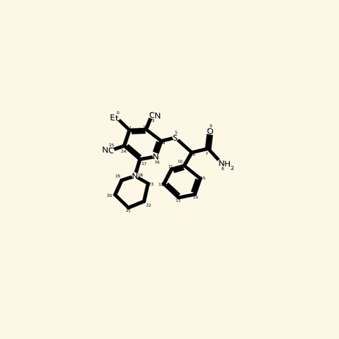 CCc1c(C#N)c(SC(C(N)=O)c2ccccc2)nc(N2CC[CH]CC2)c1C#N